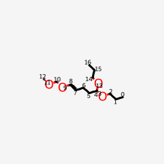 CCCOC(CCC=COCOC)OCCC